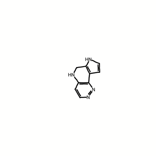 c1cc2c(nn1)-c1cc[nH]c1CN2